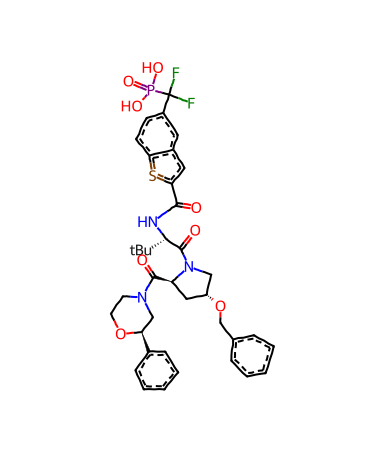 CC(C)(C)[C@H](NC(=O)c1cc2cc(C(F)(F)P(=O)(O)O)ccc2s1)C(=O)N1C[C@H](OCc2ccccc2)C[C@H]1C(=O)N1CCO[C@H](c2ccccc2)C1